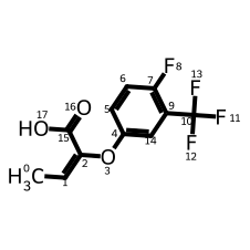 CC=C(Oc1ccc(F)c(C(F)(F)F)c1)C(=O)O